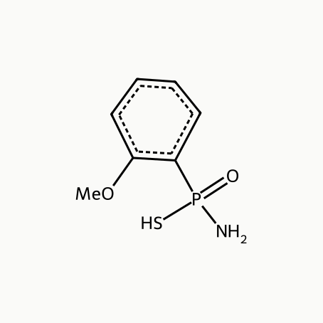 COc1ccccc1P(N)(=O)S